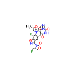 C[C@H]1CN2c3c(cc4c(N5C(=O)OC[C@H]5CF)noc4c3F)CC3(C(=O)NC(=O)NC3=O)[C@@H]2[C@@H](C)O1